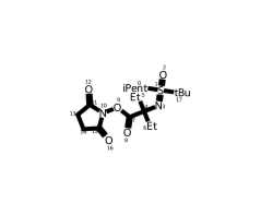 CCCC(C)S(=O)(=NC(CC)(CC)C(=O)ON1C(=O)CCC1=O)C(C)(C)C